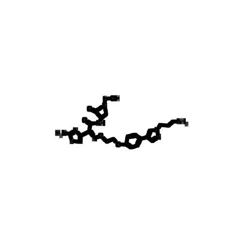 NCCCn1cc(-c2ccc(OCCO/N=C(\C(=O)NC3CN(SO)C3=O)c3csc(N)n3)cc2)cn1